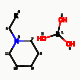 OB(O)O.[K][CH2]N1CCCCC1